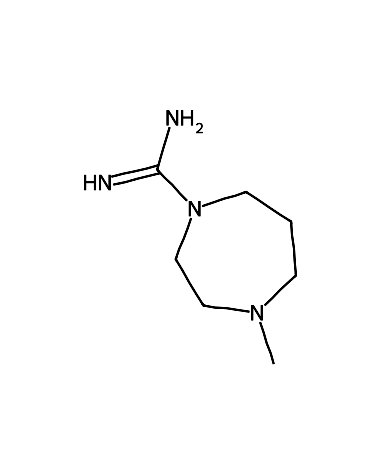 CN1CCCN(C(=N)N)CC1